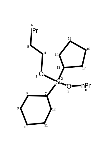 CCCO[Si](OCCC(C)C)(C1CCCCC1)C1CCCC1